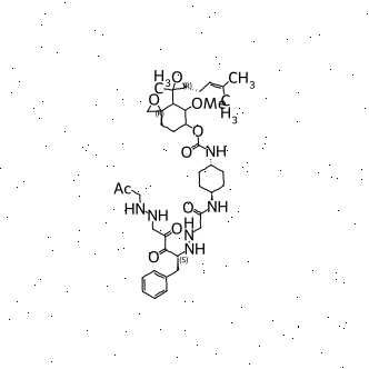 COC1C(OC(=O)N[C@H]2CC[C@H](NC(=O)CNN[C@@H](Cc3ccccc3)C(=O)C(=O)CNNCC(C)=O)CC2)CC[C@]2(CO2)C1C1(C)O[C@@H]1CC=C(C)C